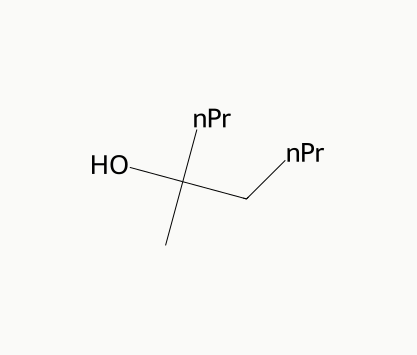 CCCCC(C)(O)CCC